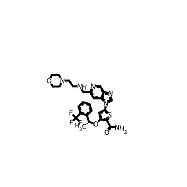 C[C@@H](Oc1cc(-n2cnc3cnc(CNCCN4CCOCC4)cc32)sc1C(N)=O)c1ccccc1C(F)(F)F